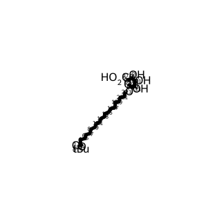 CC(C)(C)OC(=O)CCCCCCCCCCCCCCCCCCCO[C@@H]1O[C@H](C(=O)O)[C@@H](O)[C@H](O)[C@H]1O